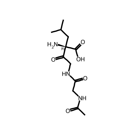 CC(=O)NCC(=O)NCC(=O)[C@](N)(CC(C)C)C(=O)O